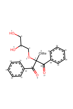 COC(OCC(O)CO)(C(=O)c1ccccc1)C(=O)c1ccccc1